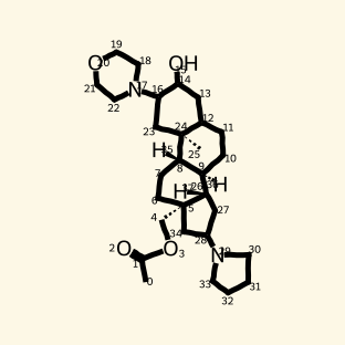 CC(=O)OC[C@]12CC[C@H]3[C@@H](CCC4CC(O)C(N5CCOCC5)C[C@@]43C)[C@@H]1CC(N1CCCC1)C2